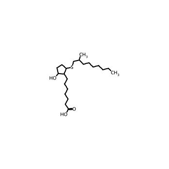 CCCCCCCC(C)CSC1CCC(O)C1CCCCCCC(=O)O